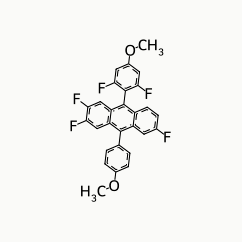 COc1ccc(-c2c3cc(F)ccc3c(-c3c(F)cc(OC)cc3F)c3cc(F)c(F)cc23)cc1